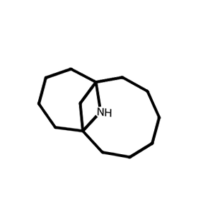 C1CCCC23CCCCC(CC1)(C2)N3